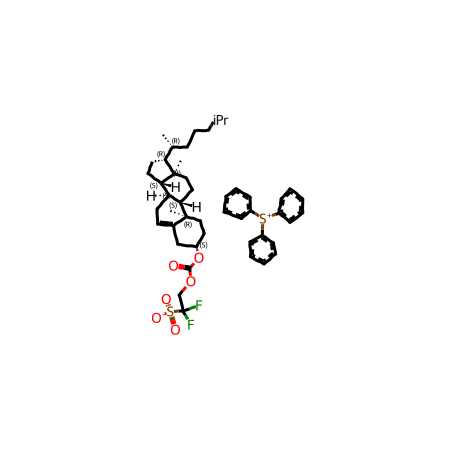 CC(C)CCC[C@@H](C)[C@H]1CC[C@H]2[C@@H]3CC=C4C[C@@H](OC(=O)OCC(F)(F)S(=O)(=O)[O-])CC[C@]4(C)[C@H]3CC[C@]12C.c1ccc([S+](c2ccccc2)c2ccccc2)cc1